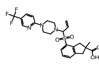 C=CC(N1CCN(c2ccc(C(F)(F)F)cn2)CC1)S(=O)(=O)c1cccc2c1CC(C)(C(=O)O)C2